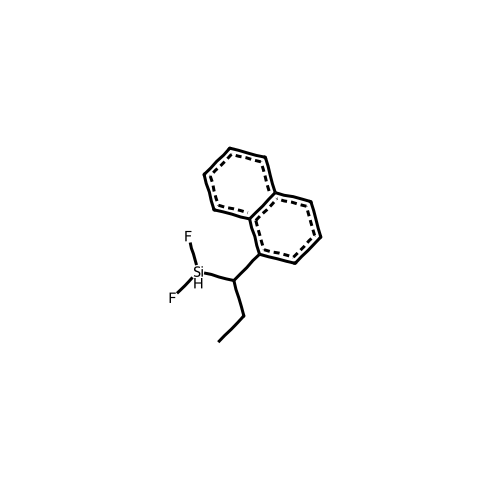 CCC(c1cccc2ccccc12)[SiH](F)F